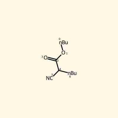 CCCCOC(=O)C(C#N)CCCC